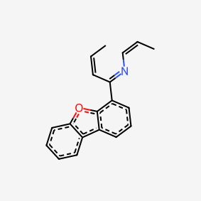 C\C=C/N=C(\C=C/C)c1cccc2c1oc1ccccc12